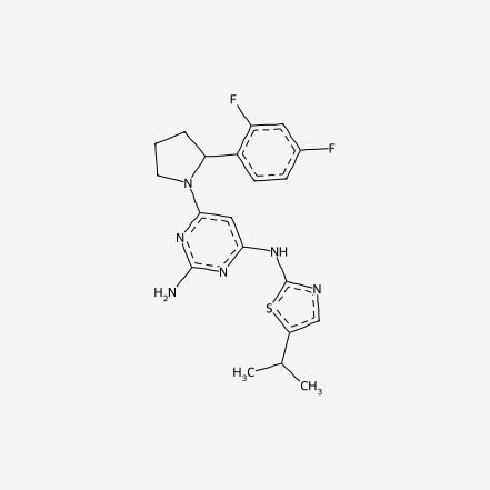 CC(C)c1cnc(Nc2cc(N3CCCC3c3ccc(F)cc3F)nc(N)n2)s1